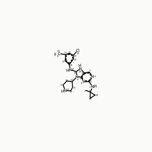 CC1(Nc2ncc3c(n2)N(C2CCNCC2)C(Nc2cc(Cl)cc(C(F)(F)F)c2)N3)CC1